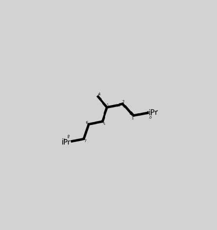 [CH2]C(C)CCC(C)CCCC(C)C